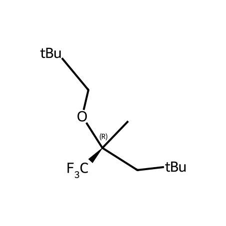 CC(C)(C)CO[C@](C)(CC(C)(C)C)C(F)(F)F